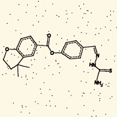 CC1(C)CCOc2ccc(C(=O)Oc3ccc(/C=N\NC(N)=S)cc3)cc21